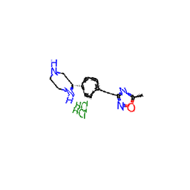 Cc1nc(-c2ccc([C@H]3CNCCN3)cc2)no1.Cl.Cl